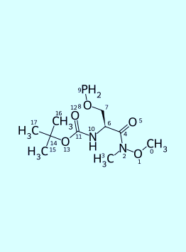 CON(C)C(=O)[C@H](COP)NC(=O)OC(C)(C)C